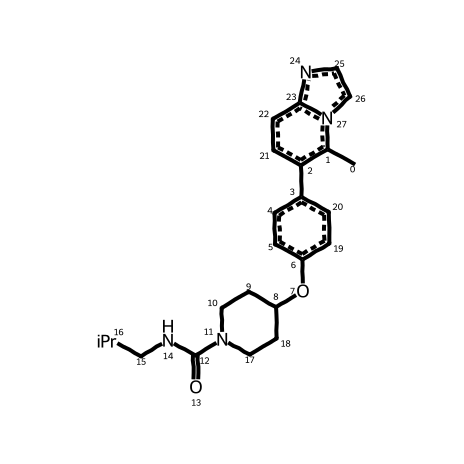 Cc1c(-c2ccc(OC3CCN(C(=O)NCC(C)C)CC3)cc2)ccc2nccn12